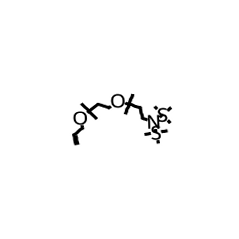 C=CCOC(C)(C)CCOC(C)(C)CCN(S(C)(C)C)S(C)(C)C